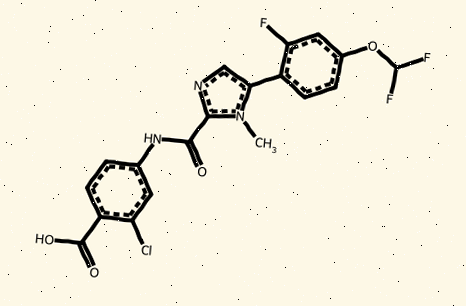 Cn1c(-c2ccc(OC(F)F)cc2F)cnc1C(=O)Nc1ccc(C(=O)O)c(Cl)c1